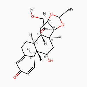 CCCC1O[C@@H]2C[C@H]3[C@@H]4CCC5=CC(=O)C=C[C@]5(C)[C@H]4[C@@H](O)C[C@]3(C)[C@]2(C(=O)COC(C)C)O1